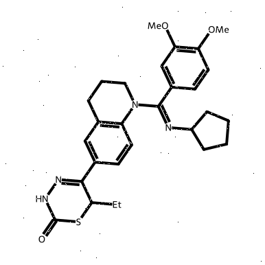 CCC1SC(=O)NN=C1c1ccc2c(c1)CCCN2C(=NC1CCCC1)c1ccc(OC)c(OC)c1